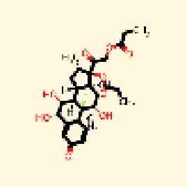 CCC(=O)OCC(=O)[C@@]1(OC(=O)CC)[C@@H](C)C[C@H]2[C@@H]3[C@@H](O)[C@@H](O)C4=CC(=O)C=C[C@]4(C)[C@@]3(F)[C@@H](O)C[C@@]21C